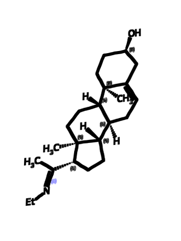 CC/N=C(\C)[C@H]1CC[C@H]2[C@@H]3CC=C4C[C@H](O)CC[C@]4(C)[C@H]3CC[C@]12C